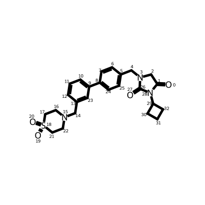 O=C1CN(Cc2ccc(-c3cccc(CN4CCS(=O)(=O)CC4)c3)cc2)C(=O)N1C1CCC1